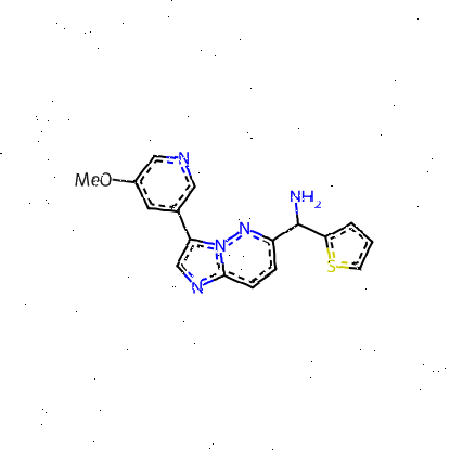 COc1cncc(-c2cnc3ccc(C(N)c4cccs4)nn23)c1